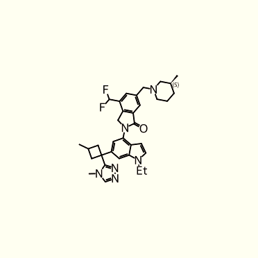 CCn1ccc2c(N3Cc4c(cc(CN5CCC[C@H](C)C5)cc4C(F)F)C3=O)cc(C3(c4nncn4C)CC(C)C3)cc21